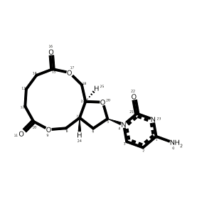 Nc1ccn([C@H]2C[C@@H]3COC(=O)CCCC(=O)OC[C@H]3O2)c(=O)n1